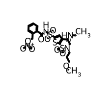 CCN[C@H]1CN(CCCOC)S(=O)(=O)c2sc(S(=O)(=O)NC(=O)c3ccccc3CO[N+](=O)[O-])cc21